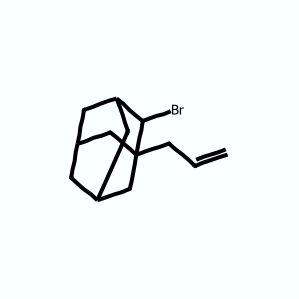 C=CCC12CC3CC(CC(C3)C1Br)C2